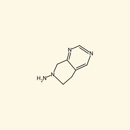 NN1CCc2cncnc2C1